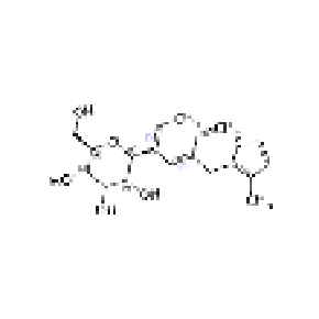 C=C/C(=C\C(=C/C)[C@@H]1O[C@H](CO)[C@@H](O)C(O)[C@H]1O)Cc1sccc1C